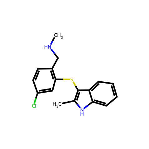 CNCc1ccc(Cl)cc1Sc1c(C)[nH]c2ccccc12